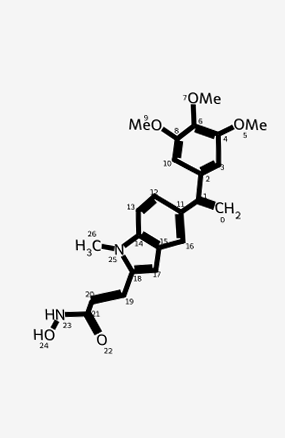 C=C(c1cc(OC)c(OC)c(OC)c1)c1ccc2c(c1)cc(C=CC(=O)NO)n2C